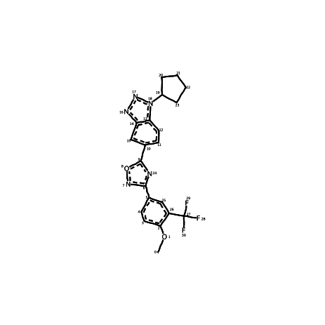 COc1ccc(-c2noc(-c3ccc4c(c3)nnn4C3CCCC3)n2)cc1C(F)(F)F